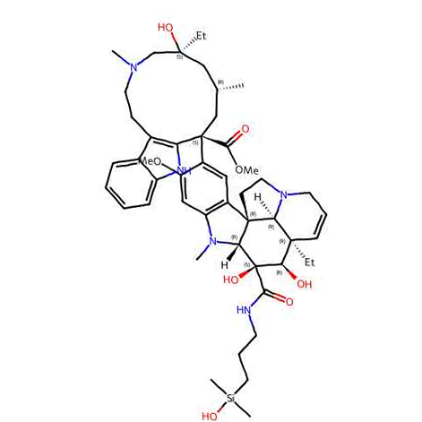 CC[C@]1(O)C[C@H](C)C[C@](C(=O)OC)(c2cc3c(cc2OC)N(C)[C@H]2[C@@](O)(C(=O)NCCC[Si](C)(C)O)[C@H](O)[C@]4(CC)C=CCN5CC[C@]32[C@@H]54)c2[nH]c3ccccc3c2CCN(C)C1